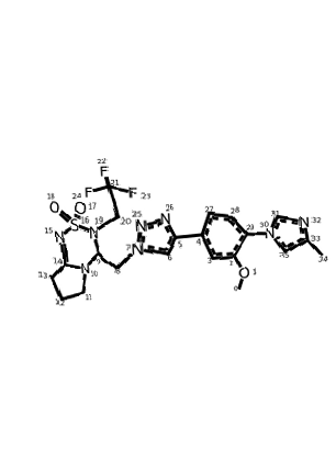 COc1cc(-c2cn(CC3N4CCCC4=NS(=O)(=O)N3CC(F)(F)F)nn2)ccc1-n1cnc(C)c1